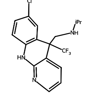 CC(C)NCC1(C(F)(F)F)c2cc(Cl)ccc2Nc2ncccc21